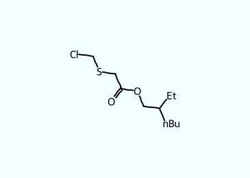 CCCCC(CC)COC(=O)CSCCl